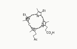 CCC1=C(C)c2cc3[nH]c(cc4nc(cc5[nH]c(cc1n2)c(C)c5CCC(=O)O)C(CCC(C)=O)=C4C)c(C)c3CC